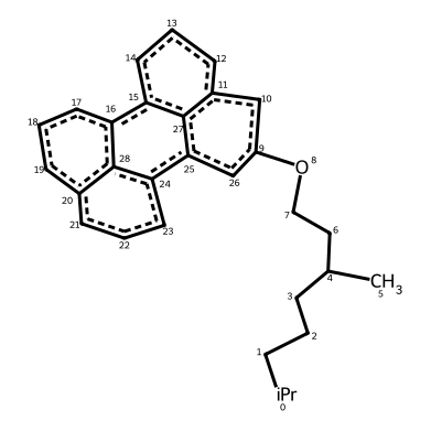 CC(C)CCCC(C)CCOc1cc2cccc3c4cccc5cccc(c(c1)c23)c54